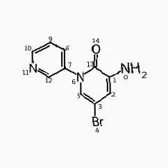 Nc1cc(Br)cn(-c2cccnc2)c1=O